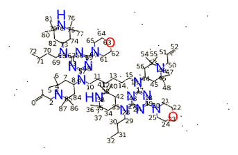 C=CCN1C(C)(C)CC(N(CCCCCCN(c2nc(N3CCOCC3)nc(N(CCCC)C3CC(C)(C)NC(C)(C)C3)n2)C2CC(C)(C)N(CC=C)C(C)(C)C2)c2nc(N3CCOCC3)nc(N(CCCC)C3CC(C)(C)NC(C)(C)C3)n2)CC1(C)C